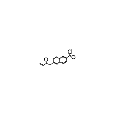 C=CC(=O)Cc1ccc2cc(C(=O)Cl)ccc2c1